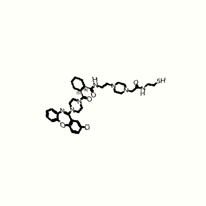 O=C(CN1CCN(CCNC(=O)[C@@H]2CCCC[C@@H]2C(=O)N2CCN(C3=Nc4ccccc4Oc4ccc(Cl)cc43)CC2)CC1)NCCS